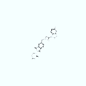 O=C1CCN(N2C(=O)c3ccc(CN4CC(N5CCc6cc(F)ccc65)C4)cc3C2=O)C(=O)N1